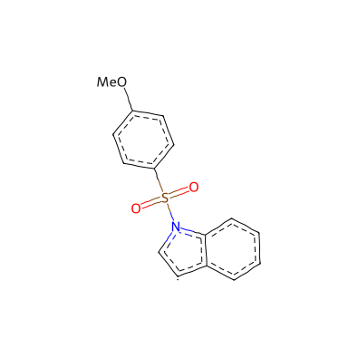 COc1ccc(S(=O)(=O)n2c[c]c3ccccc32)cc1